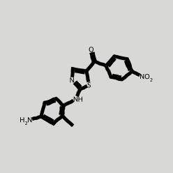 Cc1cc(N)ccc1Nc1ncc(C(=O)c2ccc([N+](=O)[O-])cc2)s1